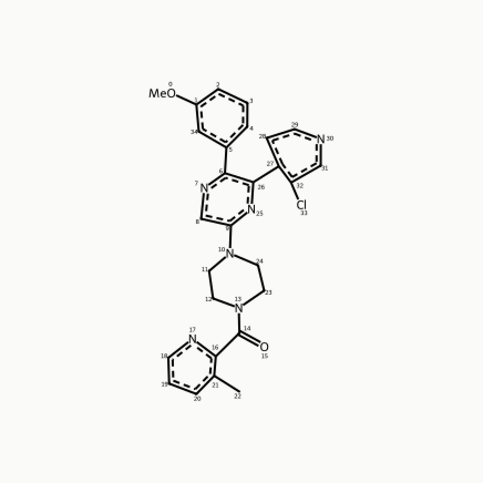 COc1cccc(-c2ncc(N3CCN(C(=O)c4ncccc4C)CC3)nc2-c2ccncc2Cl)c1